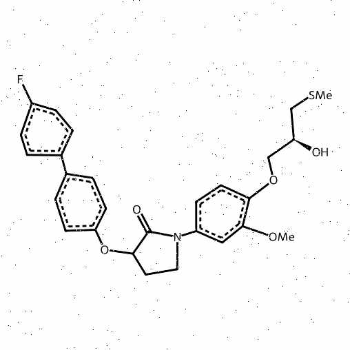 COc1cc(N2CCC(Oc3ccc(-c4ccc(F)cc4)cc3)C2=O)ccc1OC[C@H](O)CSC